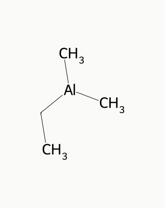 C[CH2][Al]([CH3])[CH3]